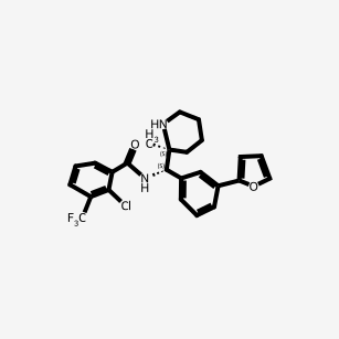 C[C@@]1([C@@H](NC(=O)c2cccc(C(F)(F)F)c2Cl)c2cccc(-c3ccco3)c2)CCCCN1